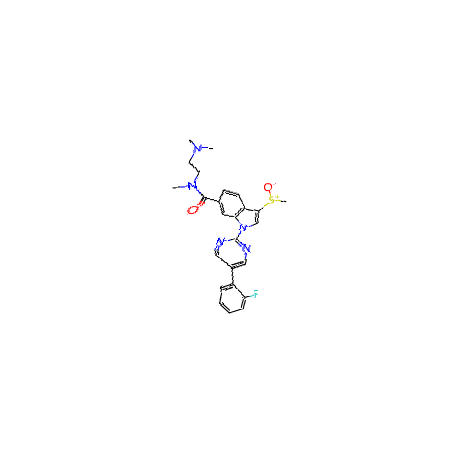 CN(C)CCN(C)C(=O)c1ccc2c([S+](C)[O-])cn(-c3ncc(-c4ccccc4F)cn3)c2c1